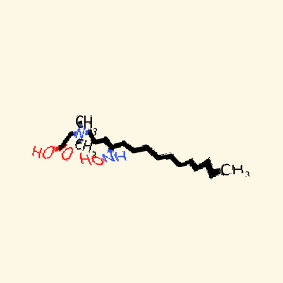 CCCCCCCCCCCC(CCC[N+](C)(C)CC(=O)O)NO